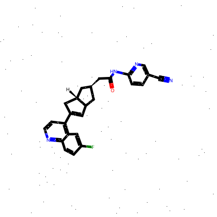 N#Cc1ccc(NC(=O)C[C@H]2CC3C=C(c4ccnc5ccc(F)cc45)C[C@@H]3C2)nc1